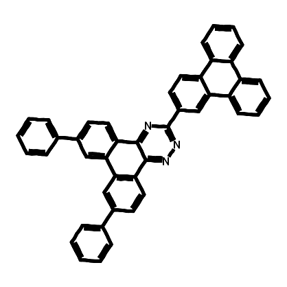 c1ccc(-c2ccc3c(c2)c2cc(-c4ccccc4)ccc2c2nc(-c4ccc5c6ccccc6c6ccccc6c5c4)nnc32)cc1